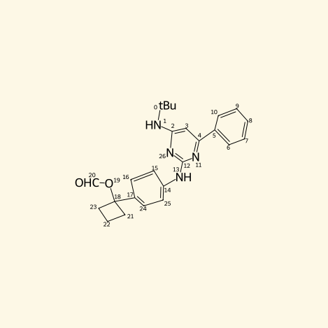 CC(C)(C)Nc1cc(-c2ccccc2)nc(Nc2ccc(C3(OC=O)CCC3)cc2)n1